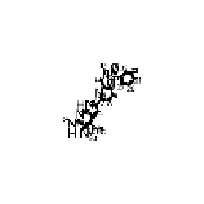 CNc1nc2[nH]c(-c3cccc(CN(C)S(=O)(=O)c4ccccc4)n3)cc2c2c1ncn2C